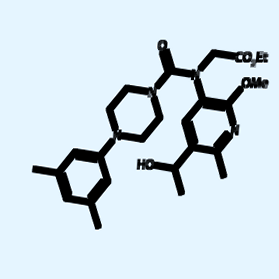 CCOC(=O)CN(C(=O)N1CCN(c2cc(C)cc(C)c2)CC1)c1cc(C(C)O)c(C)nc1OC